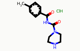 Cc1ccc(C(=O)NC(=O)N2CCNCC2)cc1.Cl